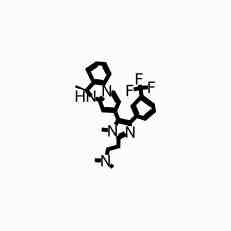 C[C@H](Nc1cc(-c2c(-c3cccc(C(F)(F)F)c3)nc(CCN(C)C)n2C)ccn1)c1ccccc1